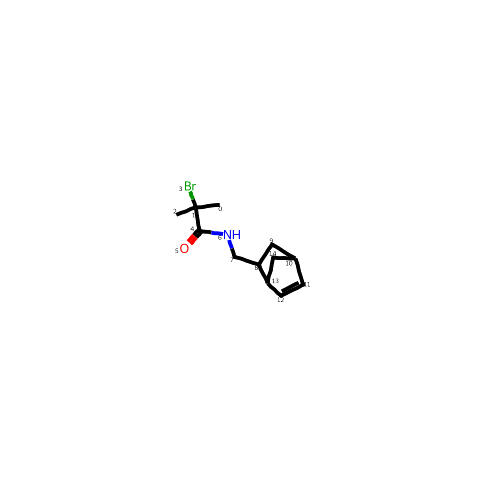 CC(C)(Br)C(=O)NCC1CC2C=CC1C2